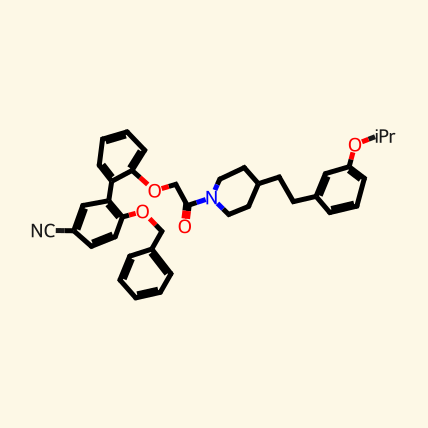 CC(C)Oc1cccc(CCC2CCN(C(=O)COc3ccccc3-c3cc(C#N)ccc3OCc3ccccc3)CC2)c1